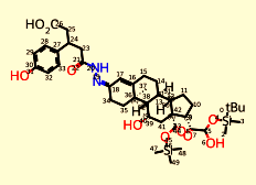 CC(C)(C)[Si](C)(C)OC(O)C(=O)[C@H]1CC[C@H]2[C@@H]3CCC4=CC(=NNC(=O)CC(CC(=O)O)c5ccc(O)cc5)CC[C@]4(C)[C@H]3[C@@H](O)C[C@]12C(=O)O[Si](C)(C)C